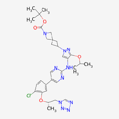 CC(C)Oc1nn(C2CC3(C2)CN(C(=O)OC(C)(C)C)C3)cc1Nc1ncc(-c2ccc(Cl)c(O[C@@H](C)Cn3cnnn3)c2)cn1